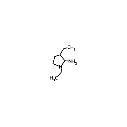 CCC1CCN(CC)C1N